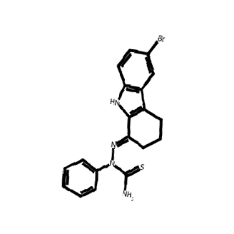 NC(=S)N(N=C1CCCc2c1[nH]c1ccc(Br)cc21)c1ccccc1